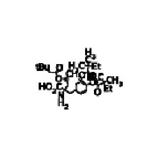 CCC(C)(C)C(=O)Oc1ccc(CC(N)(C[C@H](C)OC(=O)CC(C)(C)C)C(=O)O)cc1OC(=O)C(C)(C)CC